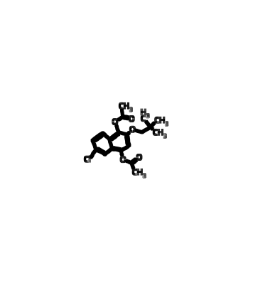 CC(=O)Oc1cc(OCC(C)(C)C)c(OC(C)=O)c2ccc(Cl)cc12